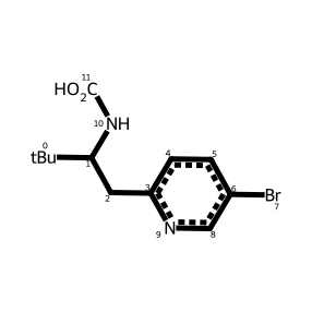 CC(C)(C)C(Cc1ccc(Br)cn1)NC(=O)O